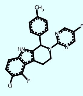 Cc1ccc(C2c3[nH]c4ccc(Cl)c(F)c4c3CCN2c2ncc(F)cn2)cc1